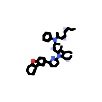 C=C(/C=C\C=C/CC)N(c1ccccc1)C(C)/C=C\c1c(C)c(CC)c(/C=C\C)n1C1=NC(c2ccc3oc4c(c3c2)C=CCCC4)=CCC1